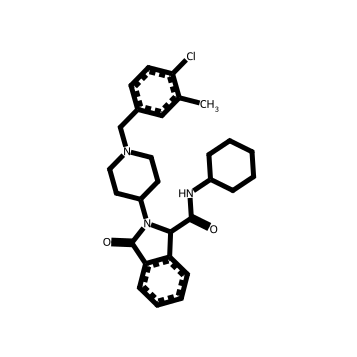 Cc1cc(CN2CCC(N3C(=O)c4ccccc4C3C(=O)NC3CCCCC3)CC2)ccc1Cl